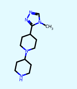 Cn1cnnc1C1CCN(C2CCNCC2)CC1